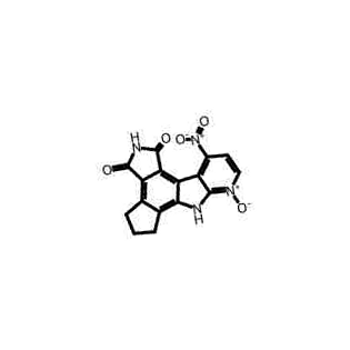 O=C1NC(=O)c2c1c1c(c3[nH]c4c(c([N+](=O)[O-])cc[n+]4[O-])c23)CCC1